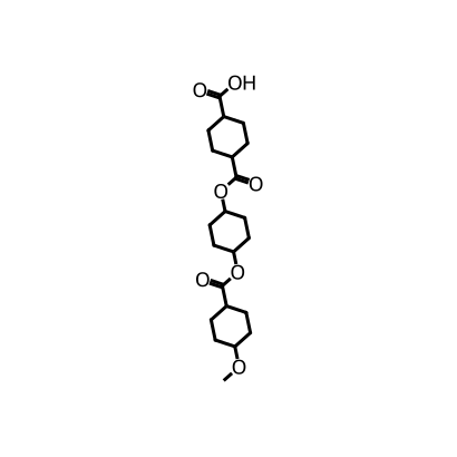 COC1CCC(C(=O)OC2CCC(OC(=O)C3CCC(C(=O)O)CC3)CC2)CC1